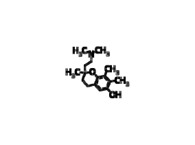 Cc1c(O)cc2c(c1C)OC(C)(CCN(C)C)CC2